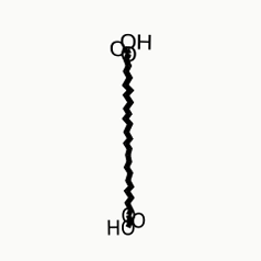 O=C(O)OCCCCCCCCCCCCCCCCCCCCCCCCCCOC(=O)O